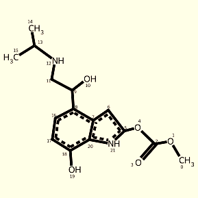 COC(=O)Oc1cc2c(C(O)CNC(C)C)ccc(O)c2[nH]1